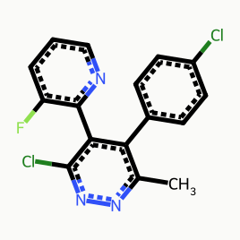 Cc1nnc(Cl)c(-c2ncccc2F)c1-c1ccc(Cl)cc1